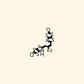 CCC(=Cc1nc2sc(=O)sc2s1)C=C1Nc2sc(=O)sc2S1